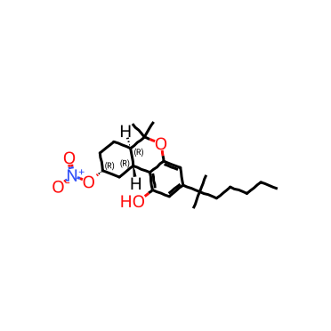 CCCCCC(C)(C)c1cc(O)c2c(c1)OC(C)(C)[C@@H]1CC[C@@H](O[N+](=O)[O-])C[C@@H]21